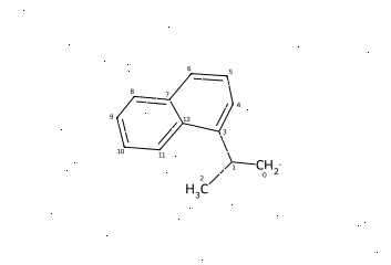 [CH2]C(C)c1cccc2ccccc12